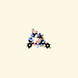 Cc1nn(-c2ncccn2)cc1C(=O)N1C[C@H]2[C@H](Oc3cc(C(C)(C)NC(=O)OCc4ccccc4)cc(-c4ccc(F)cc4)n3)[C@@]2(C)C1